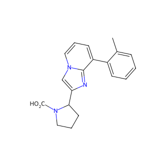 Cc1ccccc1-c1cccn2cc(C3CCCN3C(=O)O)nc12